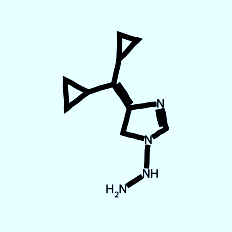 NNN1C=NC(=C(C2CC2)C2CC2)C1